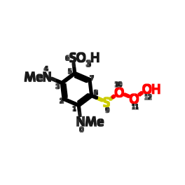 CNc1cc(NC)c(S(=O)(=O)O)cc1SOOO